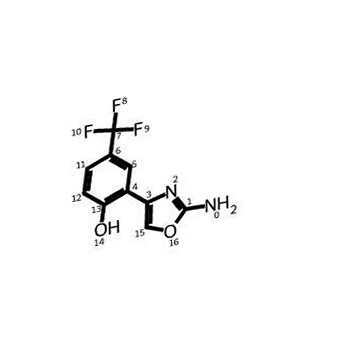 Nc1nc(-c2cc(C(F)(F)F)ccc2O)co1